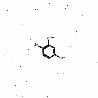 CCCCc1ccc(O)c(OC)c1